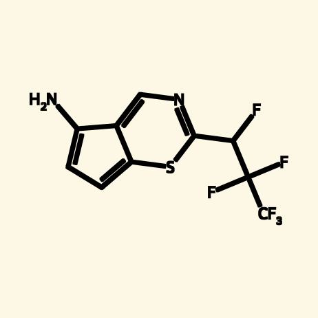 Nc1ccc2sc(C(F)C(F)(F)C(F)(F)F)ncc1-2